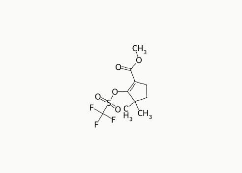 COC(=O)C1=C(OS(=O)(=O)C(F)(F)F)C(C)(C)CC1